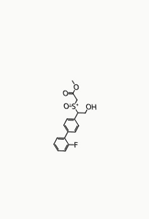 COC(=O)C[S+]([O-])C(CO)c1ccc(-c2ccccc2F)cc1